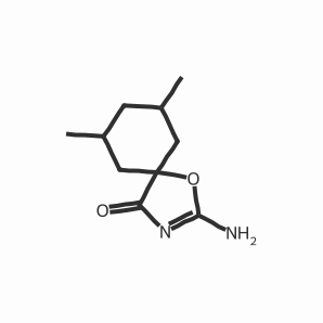 CC1CC(C)CC2(C1)OC(N)=NC2=O